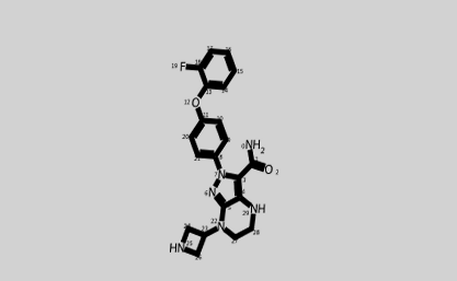 NC(=O)c1c2c(nn1-c1ccc(Oc3ccccc3F)cc1)N(C1CNC1)CCN2